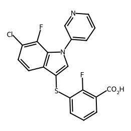 O=C(O)c1cccc(Sc2cn(-c3cccnc3)c3c(F)c(Cl)ccc23)c1F